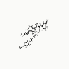 N#Cc1ccc(C=CCN2CCc3c(c4c(OC(F)(F)F)cccc4n3C(=O)NCc3ccnc(Cl)c3)C2)cc1